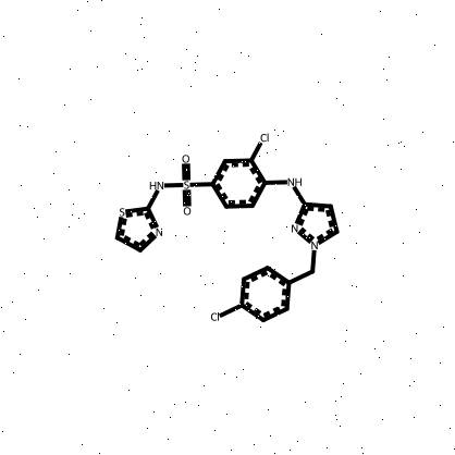 O=S(=O)(Nc1nccs1)c1ccc(Nc2ccn(Cc3ccc(Cl)cc3)n2)c(Cl)c1